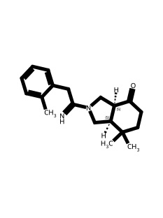 Cc1ccccc1CC(=N)N1C[C@H]2C(=O)CCC(C)(C)[C@H]2C1